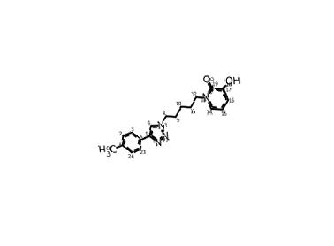 Cc1ccc(-c2cn(CCCCCn3cccc(O)c3=O)nn2)cc1